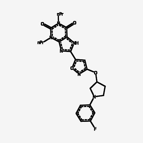 CCCn1c(=O)c2[nH]c(-c3cc(OC4CCN(c5cccc(F)c5)C4)no3)nc2n(CCC)c1=O